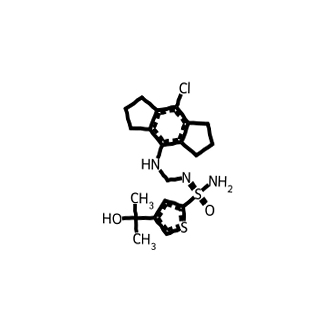 CC(C)(O)c1csc(S(N)(=O)=NCNc2c3c(c(Cl)c4c2CCC4)CCC3)c1